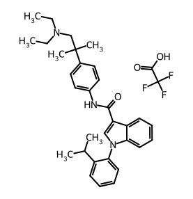 CCN(CC)CC(C)(C)c1ccc(NC(=O)c2cn(-c3ccccc3C(C)C)c3ccccc23)cc1.O=C(O)C(F)(F)F